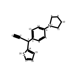 C#CC(c1ccc(N2CCCC2)cc1)c1cccs1